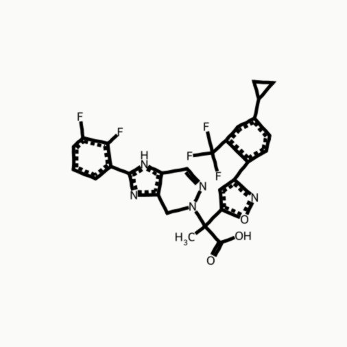 CC(C(=O)O)(c1cc(-c2ccc(C3CC3)cc2C(F)(F)F)no1)N1Cc2nc(-c3cccc(F)c3F)[nH]c2C=N1